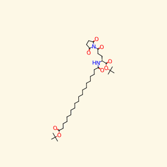 CC(C)(C)OC(=O)CCCCCCCCCCCCCCCCCCC(=O)N[C@@H](CCC(=O)N1C(=O)CCC1=O)C(=O)OC(C)(C)C